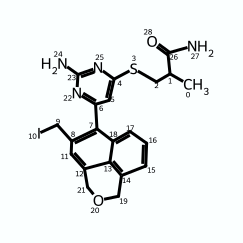 CC(CSc1cc(-c2c(CI)cc3c4c(cccc24)COC3)nc(N)n1)C(N)=O